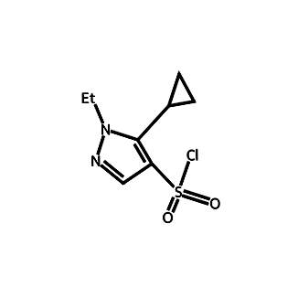 CCn1ncc(S(=O)(=O)Cl)c1C1CC1